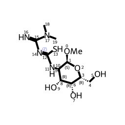 CO[C@H]1O[C@H](CO)[C@H](O)[C@H](O)[C@H]1N/C(S)=N/C(=N)N(C)C